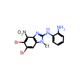 CCn1c(Nc2ccccc2N)nc2c([N+](=O)[O-])c(Br)c(Br)cc21